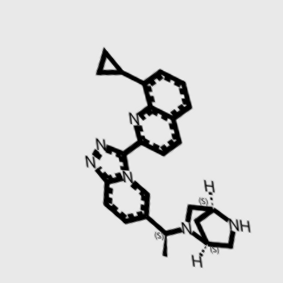 C[C@@H](c1ccc2nnc(-c3ccc4cccc(C5CC5)c4n3)n2c1)N1C[C@@H]2C[C@H]1CN2